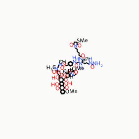 COc1cccc2c1C(=O)c1c(O)c3c(c(O)c1C2=O)C[C@@](O)(C(=O)COC(=O)N(C)CCN(C)C(=O)OCc1ccc(NC(=O)CN[C@H](CCCNC(N)=O)[C@@H](NC(=O)CCCCCN2C(=O)CC(SC)C2=O)C(C)C)cc1)C[C@@H]3O[C@H]1C[C@H]2[C@H](O[C@@H]3[C@@H](OC)OCCN32)[C@H](C)O1